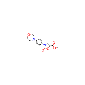 COC(=O)C1CN(c2ccc(N3CCCOCC3)cc2)C(=O)O1